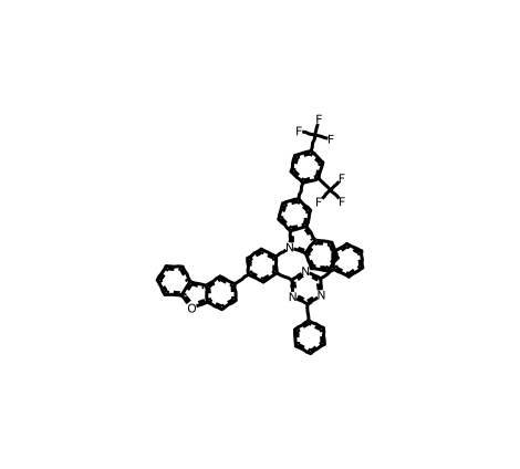 FC(F)(F)c1ccc(-c2ccc3c(c2)c2ccccc2n3-c2ccc(-c3ccc4oc5ccccc5c4c3)cc2-c2nc(-c3ccccc3)nc(-c3ccccc3)n2)c(C(F)(F)F)c1